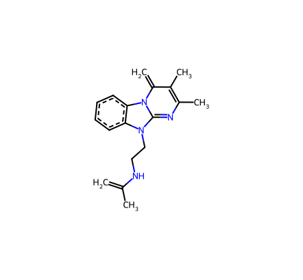 C=C(C)NCCN1C2=NC(C)=C(C)C(=C)N2c2ccccc21